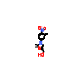 Cc1cc(N2C[C@@H](CO)O[C@H]2C)ccc1[N+](=O)[O-]